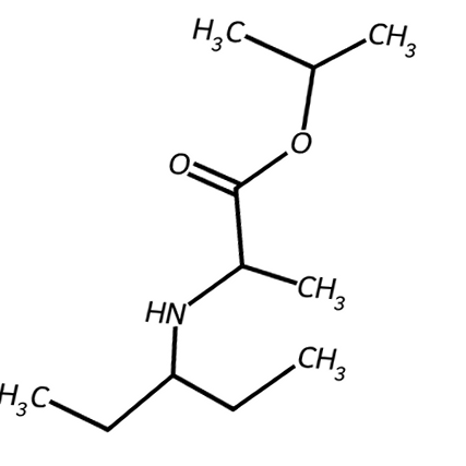 CCC(CC)NC(C)C(=O)OC(C)C